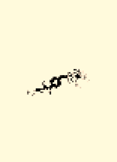 CCOC(=O)Nc1ccc(CCO[Si](C)(C)C(C)(C)C)cc1